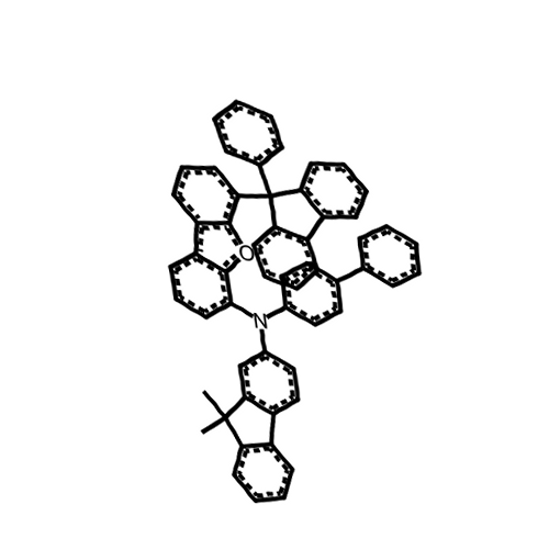 CC1(C)c2ccccc2-c2ccc(N(c3ccc(-c4ccccc4)cc3)c3cccc4c3oc3c(C5(c6ccccc6)c6ccccc6-c6ccccc65)cccc34)cc21